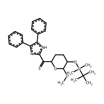 COC1OC(C(=S)c2nc(-c3ccccc3)c(-c3ccccc3)[nH]2)CCC1O[Si](C)(C)C(C)(C)C